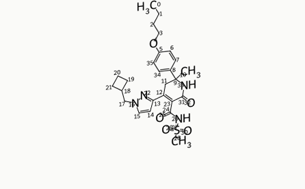 CCCCOc1ccc(C2(C)CC(c3ccn(CC4CCC4)n3)=C(C(=O)NS(C)(=O)=O)C(=O)N2)cc1